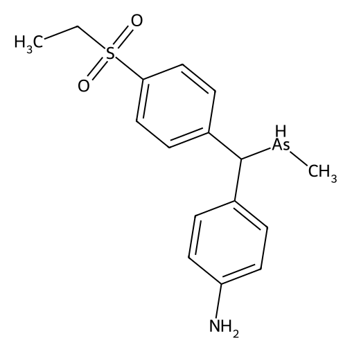 CCS(=O)(=O)c1ccc(C([AsH]C)c2ccc(N)cc2)cc1